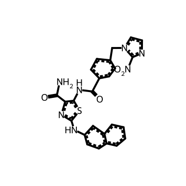 NC(=O)c1nc(Nc2ccc3ccccc3c2)sc1NC(=O)c1ccc(Cn2ccnc2[N+](=O)[O-])cc1